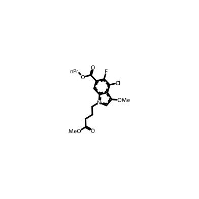 CCCOC(=O)c1cc2c(c(OC)cn2CCCC(=O)OC)c(Cl)c1F